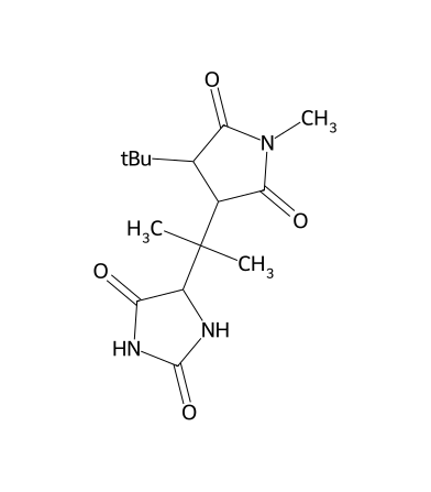 CN1C(=O)C(C(C)(C)C)C(C(C)(C)C2NC(=O)NC2=O)C1=O